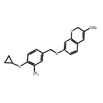 O=CC1=Cc2ccc(OCc3ccc(OC4CC4)c(C(F)(F)F)c3)cc2OC1